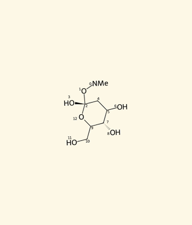 CNO[C@]1(O)CC(O)[C@H](O)C(CO)O1